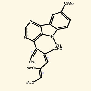 C\C=C(/C(C=O)=C\C(=C\OC)OC)c1ncnc2c3cc(OC)ccc3n(C)c12